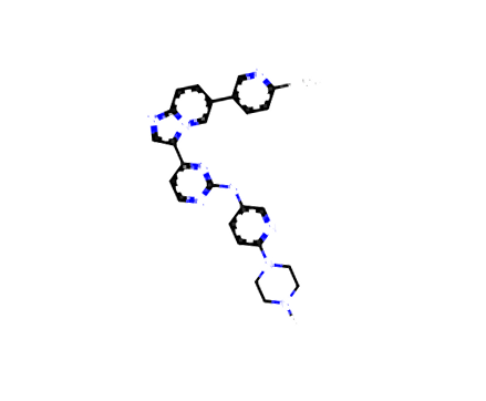 COc1ccc(-c2ccc3ncc(-c4ccnc(Nc5ccc(N6CCN(C(C)=O)CC6)nc5)n4)n3c2)cn1